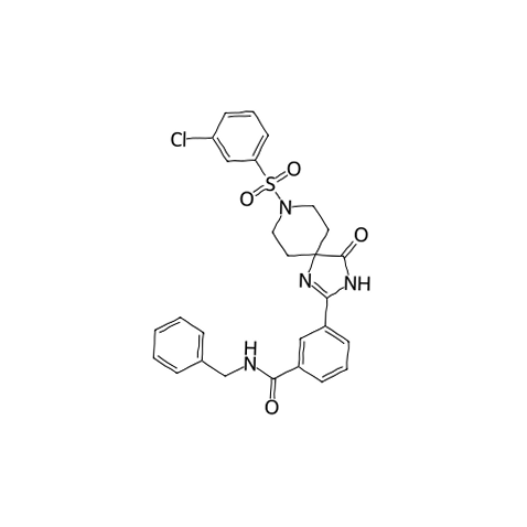 O=C(NCc1ccccc1)c1cccc(C2=NC3(CCN(S(=O)(=O)c4cccc(Cl)c4)CC3)C(=O)N2)c1